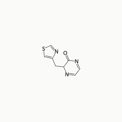 O=C1N=CC=NC1Cc1cscn1